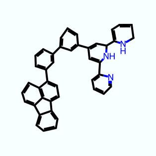 C1=CCNC(C2C=C(c3cccc(-c4cccc(-c5ccc6c7c(cccc57)-c5ccccc5-6)c4)c3)C=C(c3ccccn3)N2)=C1